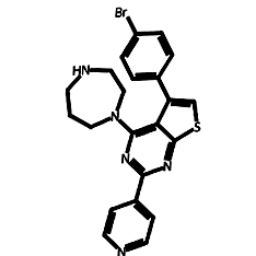 Brc1ccc(-c2csc3nc(-c4ccncc4)nc(N4CCCNCC4)c23)cc1